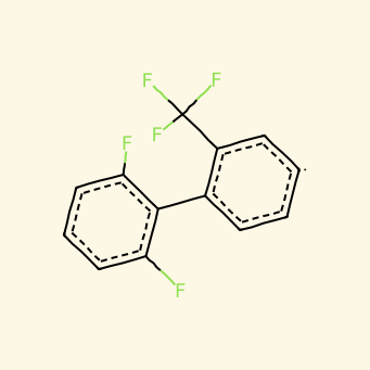 Fc1cccc(F)c1-c1cc[c]cc1C(F)(F)F